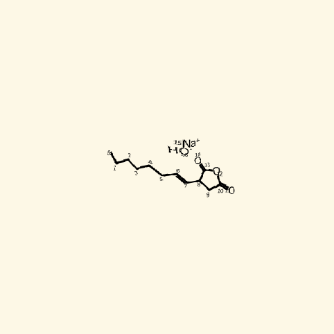 CCCCCCC=CC1CC(=O)OC1=O.[Na+].[OH-]